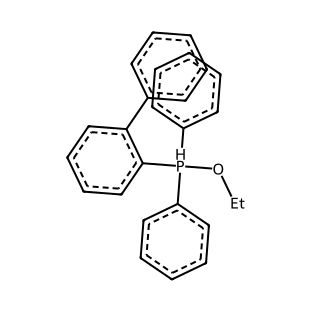 CCO[PH](c1ccccc1)(c1ccccc1)c1ccccc1-c1ccccc1